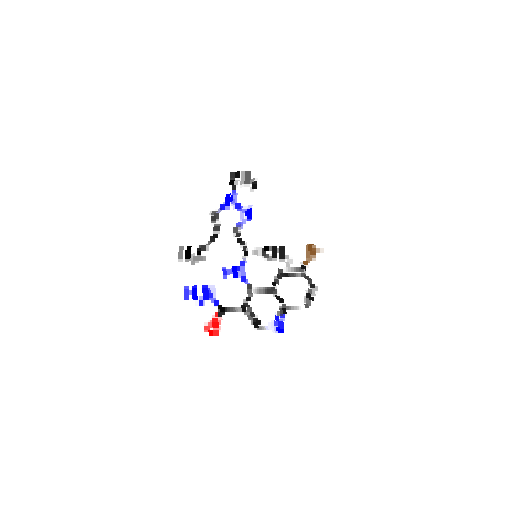 Cc1cn(C)nc1[C@H](C)Nc1c(C(N)=O)cnc2ccc(Br)cc12